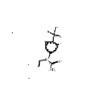 CCN(C(N)=O)c1ccc(C(C)(C)C)cc1